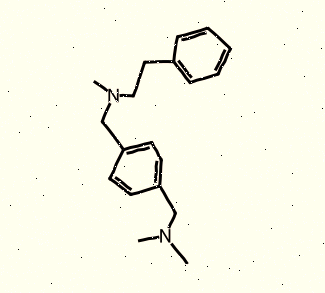 CN(C)Cc1ccc(CN(C)CCc2ccccc2)cc1